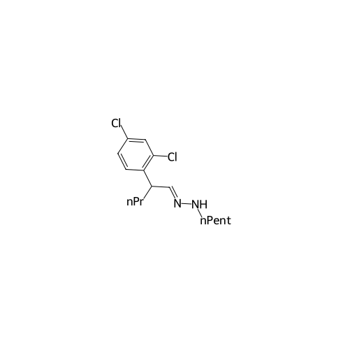 CCCCCN/N=C/C(CCC)c1ccc(Cl)cc1Cl